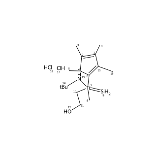 CC1=C(C)C(C)[C]([Ti]([CH3])(=[SiH2])([CH2]CO)[NH]C(C)(C)C)=C1C.Cl.Cl